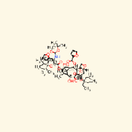 CC[Si](CC)(CC)O[C@H]1C[C@H]2OC[C@@]2(OC(C)=O)[C@H]2[C@H](OC(=O)c3ccco3)[C@]3(O)C[C@H](OC(=O)[C@H](O[Si](C(C)C)(C(C)C)C(C)C)[C@@H](NC(=O)OC(C)(C)C)c4ccco4)C(C)=C([C@@H](O)C(=O)[C@]12C)C3(C)C